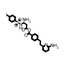 Nc1cccc(CCc2ccc(C(=O)OC(=O)C[C@@H](N)NS(=O)(=O)c3ccc(I)cc3)cc2)n1